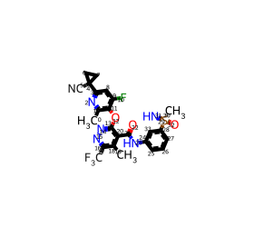 Cc1nc(C2(C#N)CC2)cc(F)c1Oc1nnc(C(F)(F)F)c(C)c1C(=O)Nc1cccc(S(C)(=N)=O)c1